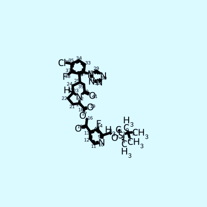 CC(C)(C)[Si](C)(C)OCc1nccc(C(=O)COC(=O)C2CC[C@@H]3CC(c4c(-n5cnnn5)ccc(Cl)c4F)CC(=O)N23)c1F